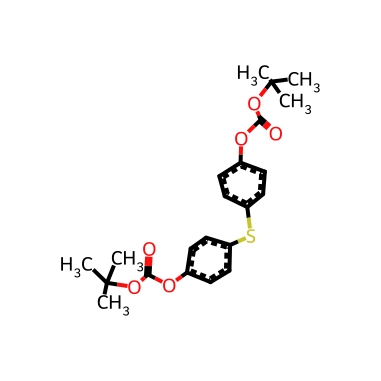 CC(C)(C)OC(=O)Oc1ccc(Sc2ccc(OC(=O)OC(C)(C)C)cc2)cc1